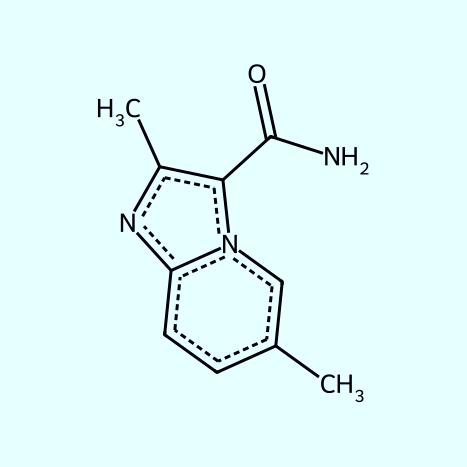 Cc1ccc2nc(C)c(C(N)=O)n2c1